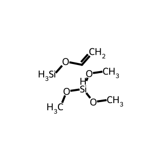 C=CO[SiH3].CO[SiH](OC)OC